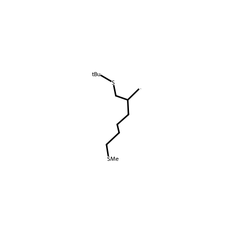 [CH2]C(CCCCSC)CSC(C)(C)C